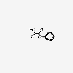 COC(=O)C(=O)Oc1ccccc1